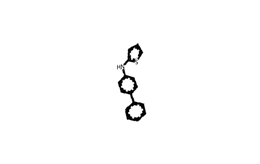 c1ccc(-c2ccc(Nc3cccs3)cc2)cc1